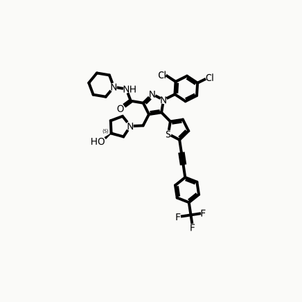 O=C(NN1CCCCC1)c1nn(-c2ccc(Cl)cc2Cl)c(-c2ccc(C#Cc3ccc(C(F)(F)F)cc3)s2)c1CN1CC[C@H](O)C1